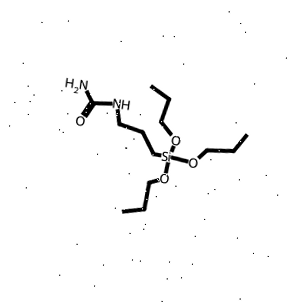 CCCO[Si](CCCNC(N)=O)(OCCC)OCCC